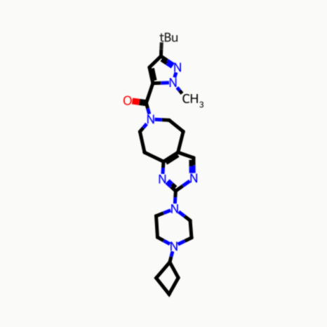 Cn1nc(C(C)(C)C)cc1C(=O)N1CCc2cnc(N3CCN(C4CCC4)CC3)nc2CC1